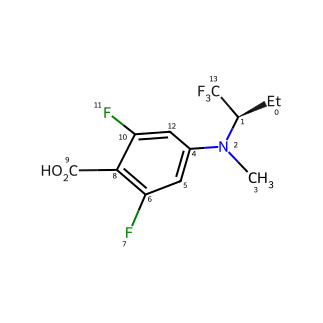 CC[C@@H](N(C)c1cc(F)c(C(=O)O)c(F)c1)C(F)(F)F